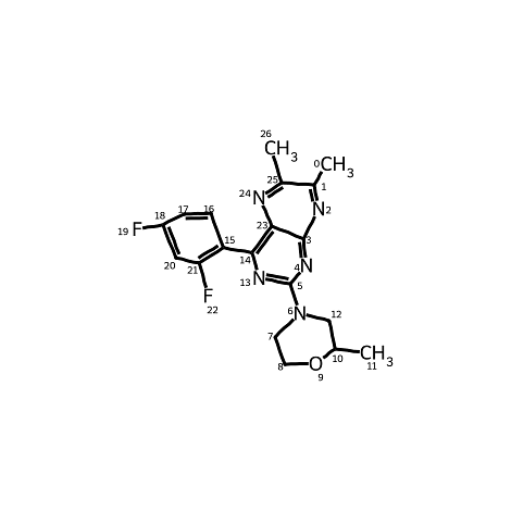 Cc1nc2nc(N3CCOC(C)C3)nc(-c3ccc(F)cc3F)c2nc1C